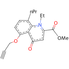 C#CCOc1ccc(CCC)c2c1c(=O)cc(C(=O)OC)n2CC